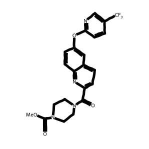 COC(=O)N1CCN(C(=O)c2ccc3cc(Oc4ccc(C(F)(F)F)cn4)ccc3n2)CC1